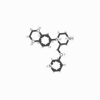 c1cncc(OCC2CNCCN2c2ccc3c(c2)OCCO3)c1